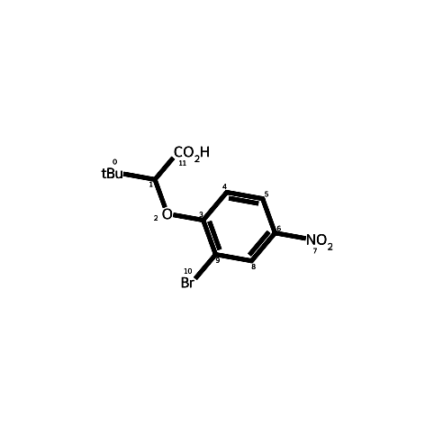 CC(C)(C)C(Oc1ccc([N+](=O)[O-])cc1Br)C(=O)O